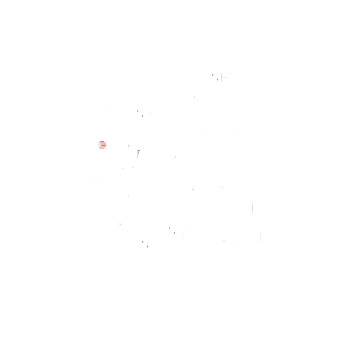 NC(=O)c1ccc(C(F)(F)C(F)(F)F)c(-c2n[nH]cc2C(F)(F)F)c1-c1cocn1